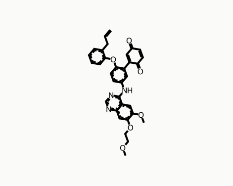 C=CCc1ccccc1Oc1ccc(Nc2ncnc3cc(OCCOC)c(OC)cc23)cc1C1=CC(=O)C=CC1=O